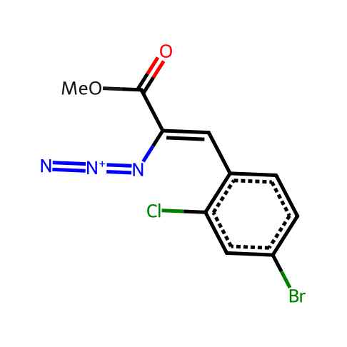 COC(=O)/C(=C/c1ccc(Br)cc1Cl)N=[N+]=[N-]